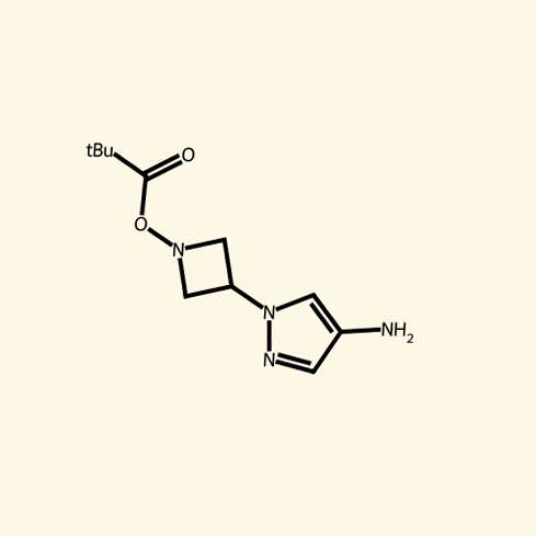 CC(C)(C)C(=O)ON1CC(n2cc(N)cn2)C1